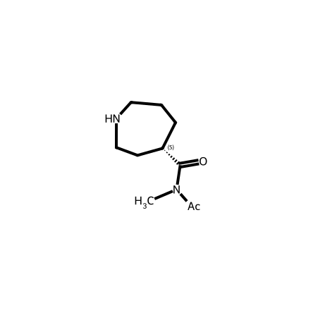 CC(=O)N(C)C(=O)[C@H]1CCCNCC1